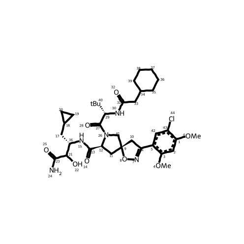 COc1cc(OC)c(C2=NO[C@]3(C2)C[C@@H](C(=O)N[C@@H](CC2CC2)C(O)C(N)=O)N(C(=O)[C@@H](NC(=O)CC2CCCCC2)C(C)(C)C)C3)cc1Cl